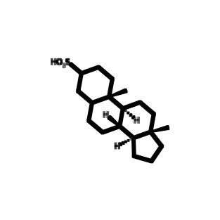 C[C@@]12CCC[C@H]1[C@@H]1CCC3CC(S(=O)(=O)O)CC[C@]3(C)[C@H]1CC2